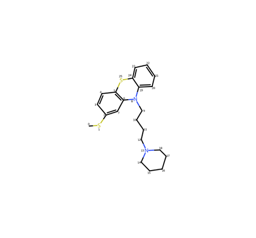 CSc1ccc2c(c1)N(CCCCN1CCCCC1)c1ccccc1S2